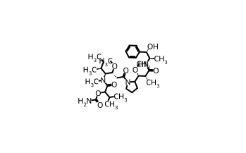 CC[C@H](C)[C@@H]([C@@H](CC(=O)N1CCCC1[C@H](OC)[C@@H](C)C(=O)N[C@H](C)[C@@H](O)c1ccccc1)OC)N(C)C(=O)C(OC(N)=O)C(C)C